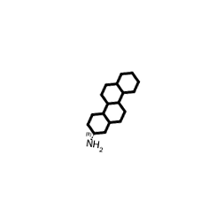 N[C@@H]1CCC2C(CCC3C4CCCCC4CCC23)C1